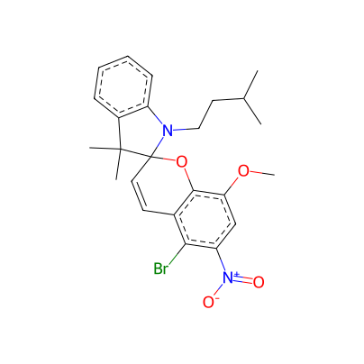 COc1cc([N+](=O)[O-])c(Br)c2c1OC1(C=C2)N(CCC(C)C)c2ccccc2C1(C)C